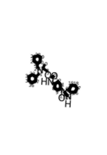 CC(COC(=O)Nc1ccc(-n2c(=O)[nH]c3ccccc32)cc1)N(Cc1ccccc1)Cc1ccccc1